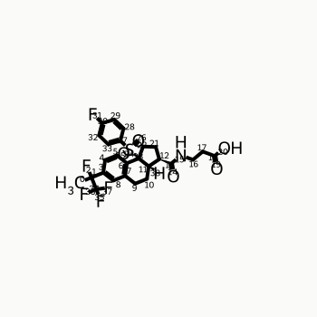 CC(F)(c1ccc2c(c1)CC[C@H]1[C@H](C(=O)NCCC(=O)O)CC[C@@]21S(=O)(=O)c1ccc(F)cc1)C(F)(F)F